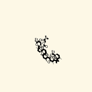 CC[C@@H](C(=O)[C@@H](C)[C@@H](O)C1(C)C[C@]12O[C@@H]([C@@H](CC)C(=O)O)CC[C@@H]2C)[C@H]1O[C@]2(C=C[C@@H](NC(=O)OCCN(C)C)[C@]3(CC[C@@](C)([C@H]4CC[C@](O)(CC)[C@H](C)O4)O3)O2)[C@H](C)C[C@@H]1C